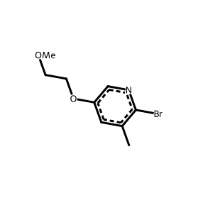 COCCOc1cnc(Br)c(C)c1